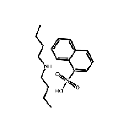 CCCCNCCCC.O=S(=O)(O)c1cccc2ccccc12